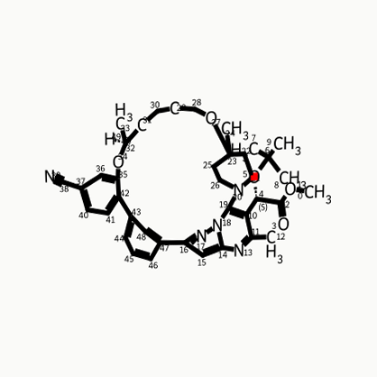 COC(=O)[C@@H](OC(C)(C)C)c1c(C)nc2cc3nn2c1N1CCC(C)(CC1)OCCCC[C@H](C)Oc1cc(C#N)ccc1-c1cccc-3c1